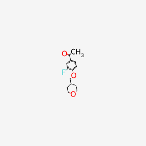 CC(=O)c1ccc(OCC2CCOCC2)c(F)c1